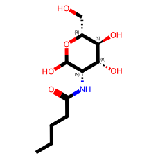 CCCCC(=O)N[C@@H]1C(O)O[C@H](CO)[C@@H](O)[C@@H]1O